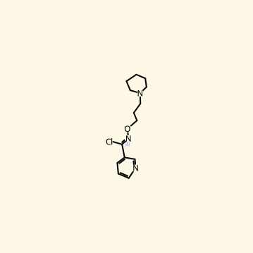 Cl/C(=N\OCCCN1CCCCC1)c1cccnc1